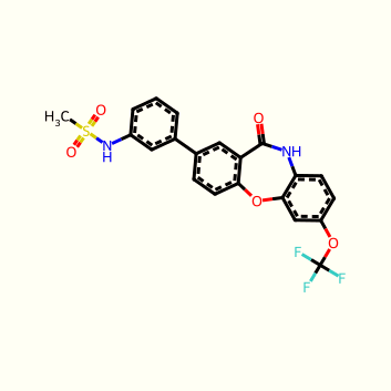 CS(=O)(=O)Nc1cccc(-c2ccc3c(c2)C(=O)Nc2ccc(OC(F)(F)F)cc2O3)c1